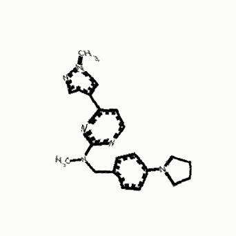 CN(Cc1ccc(N2CCCC2)cc1)c1nccc(-c2cnn(C)c2)n1